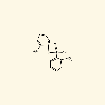 O=[N+]([O-])c1ccccc1OP(=O)(O)c1ccccc1[N+](=O)[O-]